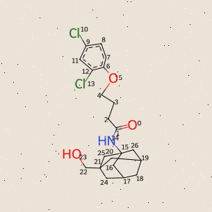 O=C(CCCOc1ccc(Cl)cc1Cl)NC12CC3CC(CC(CO)(C3)C1)C2